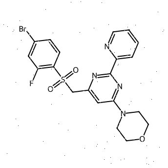 O=S(=O)(Cc1cc(N2CCOCC2)nc(-c2ccccn2)n1)c1ccc(Br)cc1F